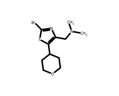 CN(C)Cc1nc(Br)sc1C1CCOCC1